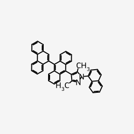 Cc1nn(-c2cccc3ccccc23)c(C)c1-c1c2ccccc2c(-c2cc3ccccc3c3ccccc23)c2ccccc12